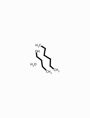 CCCCCC.CCCCO.O